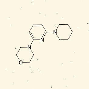 c1cc(N2CCCCC2)nc(N2CCOCC2)c1